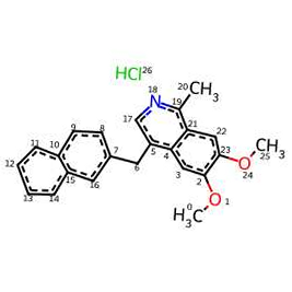 COc1cc2c(Cc3ccc4ccccc4c3)cnc(C)c2cc1OC.Cl